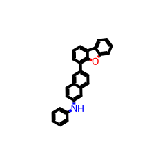 c1ccc(Nc2ccc3cc(-c4cccc5c4oc4ccccc45)ccc3c2)cc1